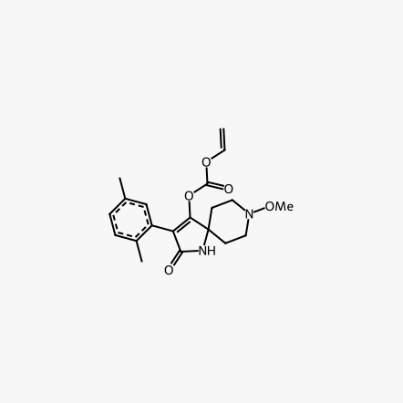 C=COC(=O)OC1=C(c2cc(C)ccc2C)C(=O)NC12CCN(OC)CC2